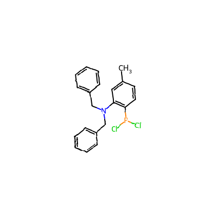 Cc1ccc(P(Cl)Cl)c(N(Cc2ccccc2)Cc2ccccc2)c1